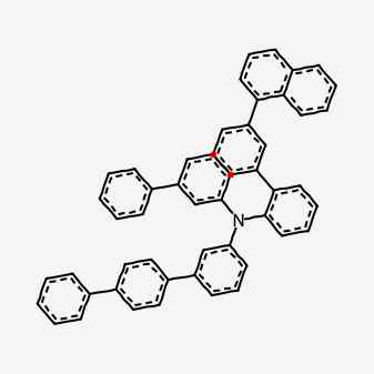 c1ccc(-c2ccc(-c3cccc(N(c4cccc(-c5ccccc5)c4)c4ccccc4-c4cccc(-c5cccc6ccccc56)c4)c3)cc2)cc1